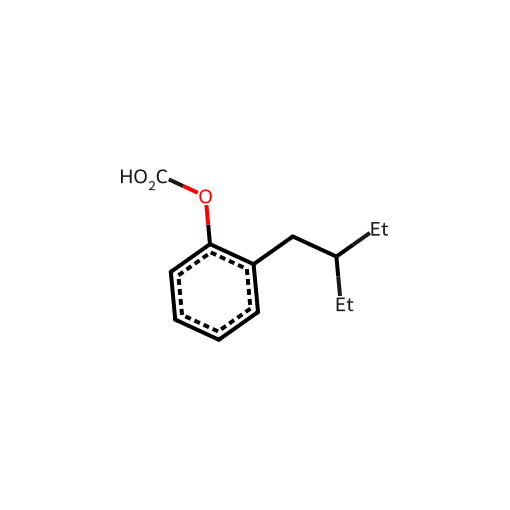 CCC(CC)Cc1ccccc1OC(=O)O